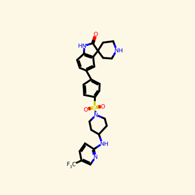 O=C1Nc2ccc(-c3ccc(S(=O)(=O)N4CCC(Nc5ccc(C(F)(F)F)cn5)CC4)cc3)cc2C12CCNCC2